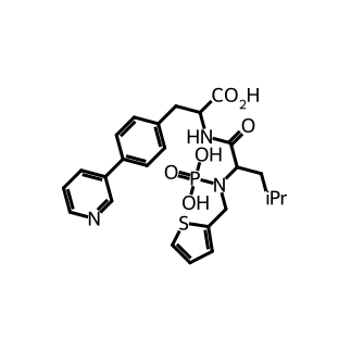 CC(C)CC(C(=O)NC(Cc1ccc(-c2cccnc2)cc1)C(=O)O)N(Cc1cccs1)P(=O)(O)O